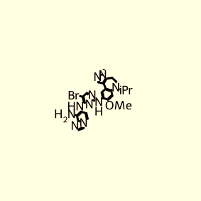 COc1cc2c(cc1Nc1ncc(Br)c(Nc3ccn4ccnc4c3N)n1)-c1cnn(C)c1CCN2C(C)C